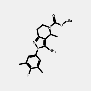 Cc1cc(-n2nc3c(c2N)C(C)N(C(=O)OC(C)(C)C)CC3)cc(C)c1F